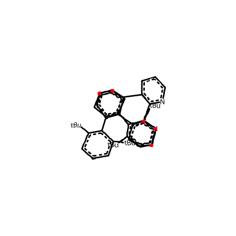 CC(C)(C)c1cccc(C(C)(C)C)c1-c1ccccc1-c1cccnc1-c1ncccc1-c1ccccc1-c1c(C(C)(C)C)cccc1C(C)(C)C